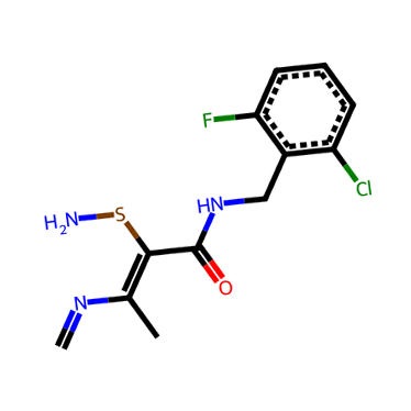 C=N/C(C)=C(\SN)C(=O)NCc1c(F)cccc1Cl